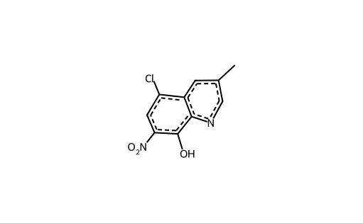 Cc1cnc2c(O)c([N+](=O)[O-])cc(Cl)c2c1